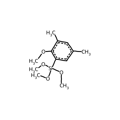 COc1c(C)cc(C)cc1[Si](OC)(OC)OC